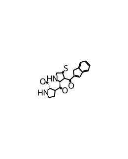 O=C[C@H]1NCCC1C(=O)[C@H]1NCC(=S)C1C(=O)C1=Cc2ccccc2C1